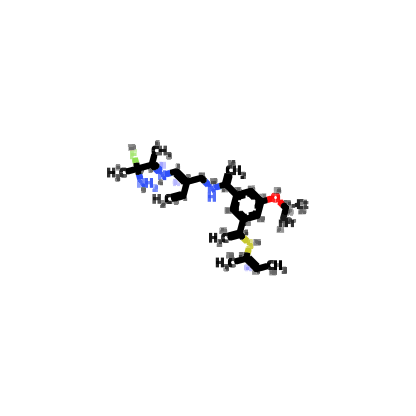 C=C/C(=C\N=C(/C)C(C)(N)F)CNC(=C)c1cc(O[C@H](CC)CCC)cc(C(=C)S/C(C)=C\C)c1